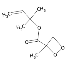 C=CC(C)(C)OC(=O)C1(C)COO1